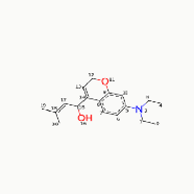 CCN(CC)c1ccc2c(c1)OCC=C2C(O)C=C(C)C